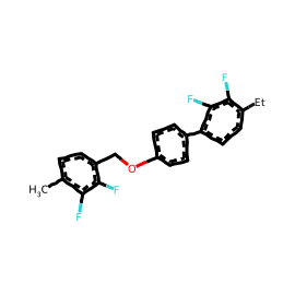 CCc1ccc(-c2ccc(OCc3ccc(C)c(F)c3F)cc2)c(F)c1F